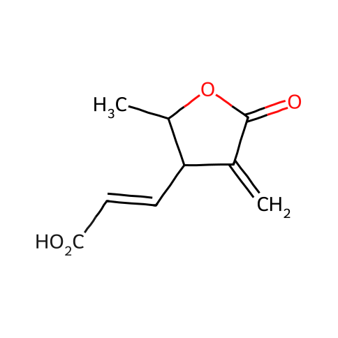 C=C1C(=O)OC(C)C1C=CC(=O)O